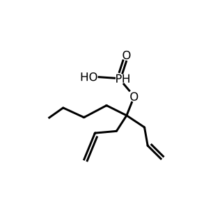 C=CCC(CC=C)(CCCC)O[PH](=O)O